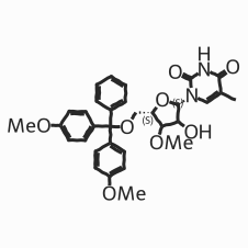 COc1ccc(C(OC[C@@H]2O[C@H](n3cc(C)c(=O)[nH]c3=O)C(O)C2OC)(c2ccccc2)c2ccc(OC)cc2)cc1